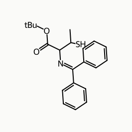 CC(S)C(N=C(c1ccccc1)c1ccccc1)C(=O)OC(C)(C)C